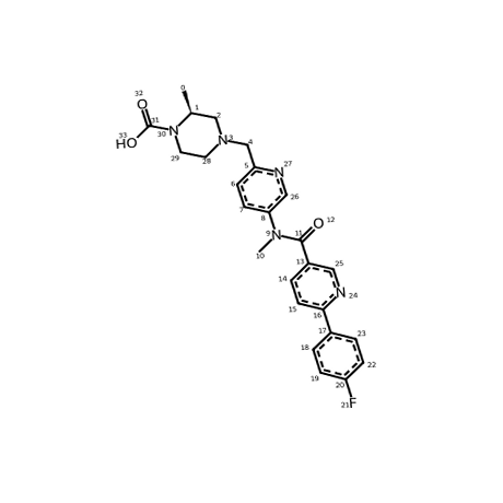 C[C@H]1CN(Cc2ccc(N(C)C(=O)c3ccc(-c4ccc(F)cc4)nc3)cn2)CCN1C(=O)O